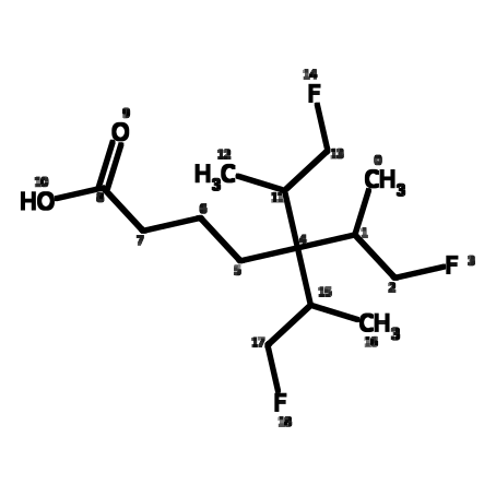 CC(CF)C(CCCC(=O)O)(C(C)CF)C(C)CF